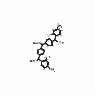 CCCCCCCCCCC(c1ccc(C(CCCCCCCC)c2ccc(C(CCCCCCCCCC)c3ccc(N)cc3C)cc2)cc1)c1ccc(N)cc1C